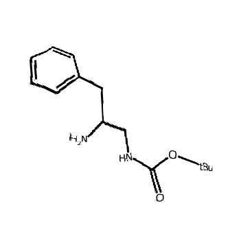 CC(C)(C)OC(=O)NCC(N)Cc1ccccc1